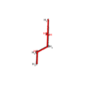 CCCCCCCCCCCCCCCCCCCCCC[C@@H](C(=O)O)[C@H](O)CCCCCCCCCCCCCCCCC[C@H](C)/C=C/CCCCCCCCCCCCCCC[C@H](O)[C@H](C)CCCCCCCCCCCCCCCCCC